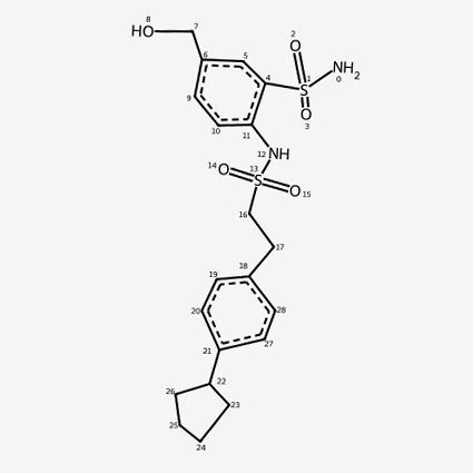 NS(=O)(=O)c1cc(CO)ccc1NS(=O)(=O)CCc1ccc(C2CCCC2)cc1